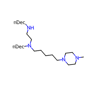 CCCCCCCCCCNCCN(CCCCCCCCCC)CCCCCN1CCN(C)CC1